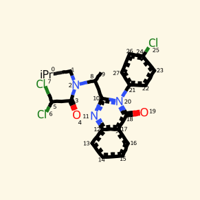 CC(C)CN(C(=O)C(Cl)Cl)C(C)c1nc2ccccc2c(=O)n1-c1ccc(Cl)cc1